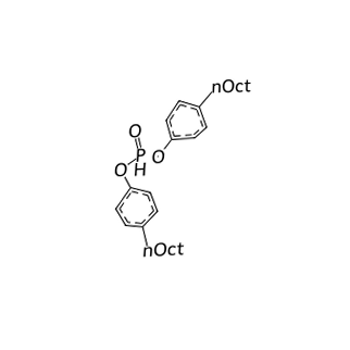 CCCCCCCCc1ccc(O[PH](=O)Oc2ccc(CCCCCCCC)cc2)cc1